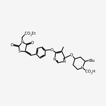 CCOC(=O)CN1C(=O)SC(=Cc2ccc(Oc3ncnc(OC4CCN(C(=O)O)C(C(C)(C)C)C4)c3C)cc2)C1=O